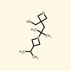 CC(C)C1CN(C(C)(C)CC2(CO)COC2)C1